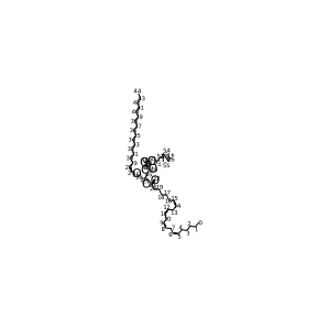 CCCCC/C=C\C/C=C\C/C=C\C/C=C\CCCCCC(=O)O[C@H](CO/C=C\CCCCCCCCCCCCCCCC)COP(=O)([O-])OCC[N+](C)(C)C